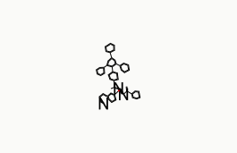 C=C(/N=C(\N=C(/C)c1ccc(-c2c(-c3ccccc3)cc(-c3ccccc3)cc2-c2ccccc2)cc1)c1ccc2ncccc2c1)c1ccccc1